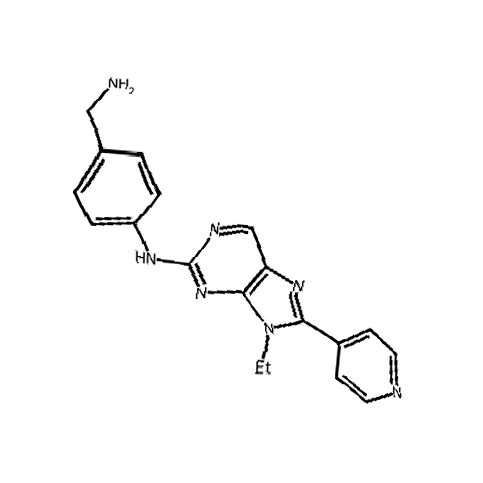 CCn1c(-c2ccncc2)nc2cnc(Nc3ccc(CN)cc3)nc21